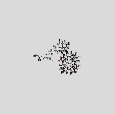 CCCC(CC)CCC(C)C[PH2+]CF.Cc1c(F)c(F)c(F)c(C(F)(F)F)c1-c1c(F)c(F)c(F)c(F)c1F.Fc1cc2c(c(F)c1F)-c1c(F)c(F)c(F)c(F)c1[CH]2[Al-]([CH]1c2cc(F)c(F)c(F)c2-c2c(F)c(F)c(F)c(F)c21)([CH]1c2cc(F)c(F)c(F)c2-c2c(F)c(F)c(F)c(F)c21)[CH]1c2cc(F)c(F)c(F)c2-c2c(F)c(F)c(F)c(F)c21